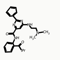 CC(C)C(=O)c1ccccc1NC(=O)c1cc(NCCN(C)C)nc(-c2ccccc2)n1